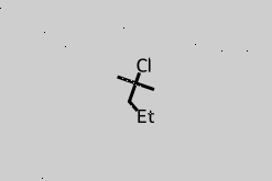 CCCC(C)(C)Cl